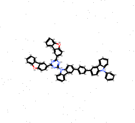 c1ccc(-n2c3ccccc3c3cc(-c4ccc(-c5ccc6c(c5)c5ccccc5n6-c5nc(-c6ccc7oc8ccccc8c7c6)nc(-c6ccc7oc8ccccc8c7c6)n5)cc4)ccc32)cc1